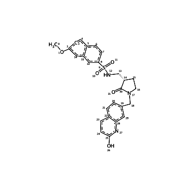 COc1ccc2ccc(S(=O)(=O)NC[C@@H]3CCN(Cc4ccc5ccc(O)nc5c4)C3=O)cc2c1